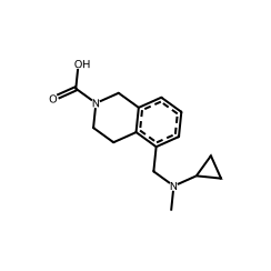 CN(Cc1cccc2c1CCN(C(=O)O)C2)C1CC1